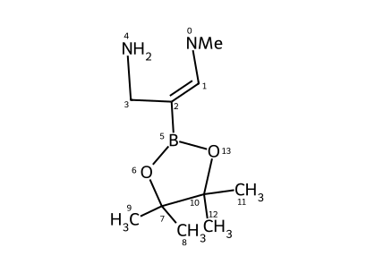 CN/C=C(\CN)B1OC(C)(C)C(C)(C)O1